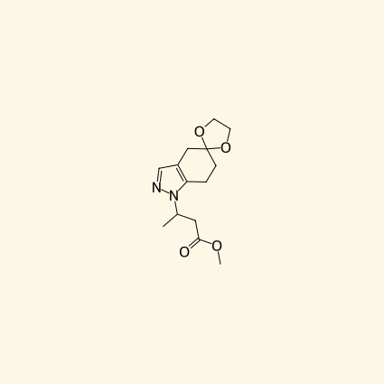 COC(=O)CC(C)n1ncc2c1CCC1(C2)OCCO1